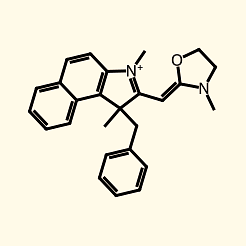 CN1CCO/C1=C\C1=[N+](C)c2ccc3ccccc3c2C1(C)Cc1ccccc1